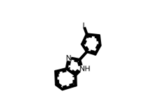 Ic1cccc(-c2nc3ccccc3[nH]2)c1